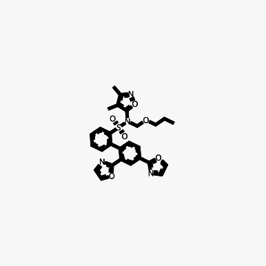 CCCOCN(c1onc(C)c1C)S(=O)(=O)c1ccccc1-c1ccc(-c2ncco2)cc1-c1ncco1